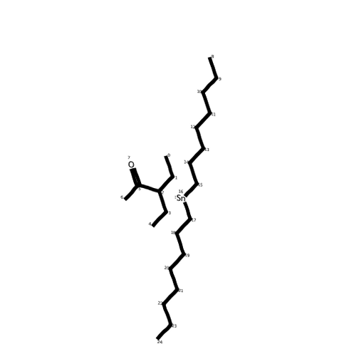 CCC(CC)C(C)=O.CCCCCCC[CH2][Sn][CH2]CCCCCCC